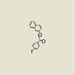 O=C(COc1ccc2ccccc2c1)c1ccc(I)cc1